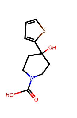 O=C(O)N1CCC(O)(c2cccs2)CC1